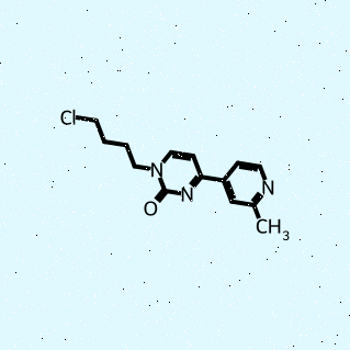 Cc1cc(-c2ccn(CCCCCl)c(=O)n2)ccn1